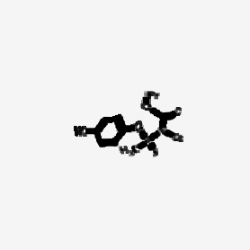 CCN(C(=O)OC(C)C)P(C)(=S)Oc1ccc(C#N)cc1